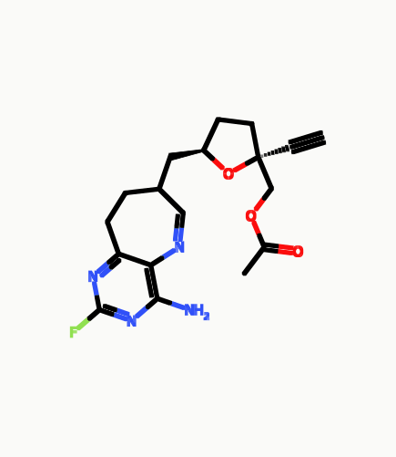 C#C[C@@]1(COC(C)=O)CC[C@H](CC2C=Nc3c(N)nc(F)nc3CC2)O1